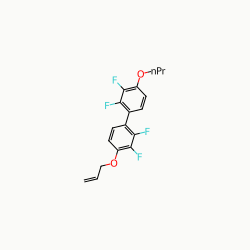 C=CCOc1ccc(-c2ccc(OCCC)c(F)c2F)c(F)c1F